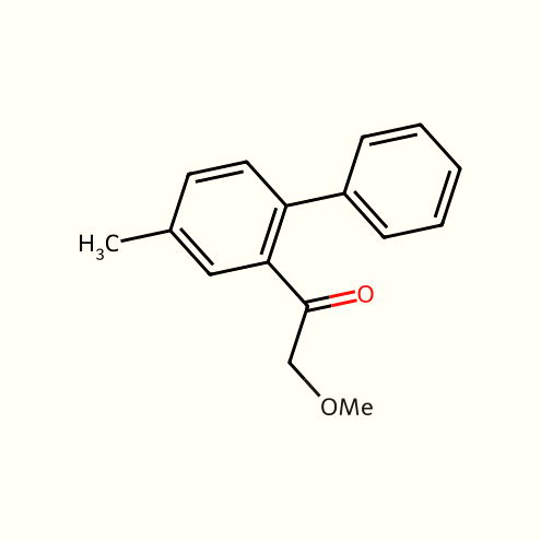 COCC(=O)c1cc(C)ccc1-c1ccccc1